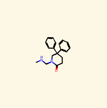 CNCN1CC(c2ccccc2)(c2ccccc2)CCC1=O